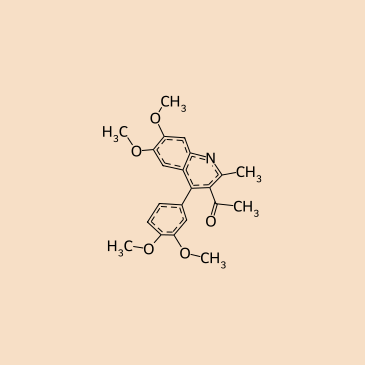 COc1ccc(-c2c(C(C)=O)c(C)nc3cc(OC)c(OC)cc23)cc1OC